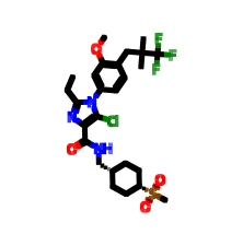 CCc1nc(C(=O)NC[C@H]2CC[C@@H](S(C)(=O)=O)CC2)c(Cl)n1-c1ccc(CC(C)(C)C(F)(F)F)c(OC)c1